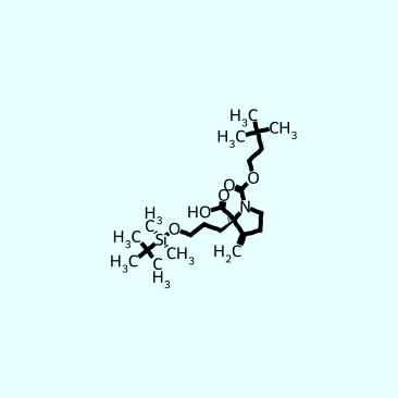 C=C1CCN(C(=O)OCCC(C)(C)C)[C@@]1(CCCO[Si](C)(C)C(C)(C)C)C(=O)O